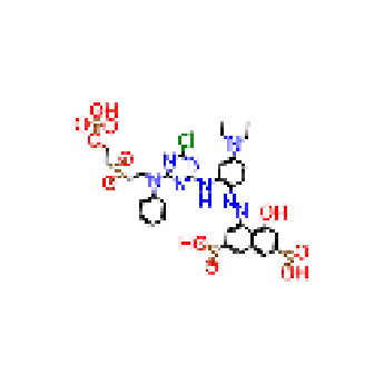 CCN(CC)c1ccc(/N=N/c2cc(S(=O)O)cc3cc(S(=O)O)cc(O)c23)c(Nc2nc(Cl)nc(N(CCS(=O)(=O)CCOS(=O)(=O)O)c3ccccc3)n2)c1